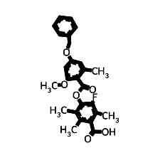 COc1cc(OCc2ccccc2)cc(C)c1C(=O)Oc1c(C)c(C)c(C(=O)O)c(C)c1F